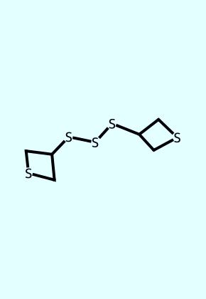 C1SCC1SSSC1CSC1